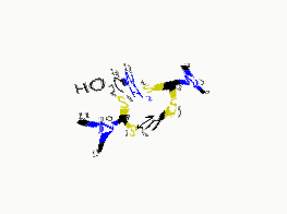 CN(C)C(=S)[S][Zn][S]C(=S)N(C)C.NC(=O)O